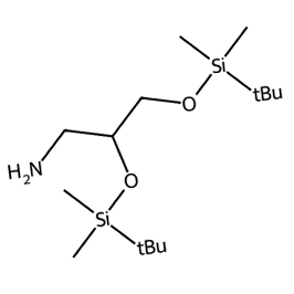 CC(C)(C)[Si](C)(C)OCC(CN)O[Si](C)(C)C(C)(C)C